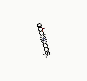 C=C1C2CC1(C)C(C)c1cc3cc4c(cc3cc12)S/C(=C1/SC2=CC3=CC5=C(CC3C=C2S1)C1C=CC5CC1C(C)C)S4